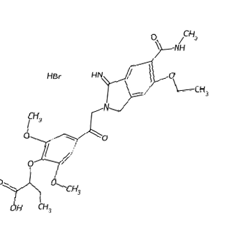 Br.CCOc1cc2c(cc1C(=O)NC)C(=N)N(CC(=O)c1cc(OC)c(OC(CC)C(=O)O)c(OC)c1)C2